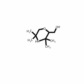 CC1(C)COC(CO)C(C)(C)N1